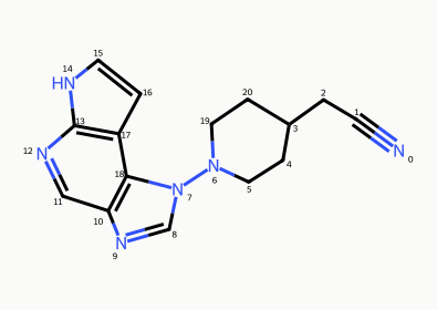 N#CCC1CCN(n2cnc3cnc4[nH]ccc4c32)CC1